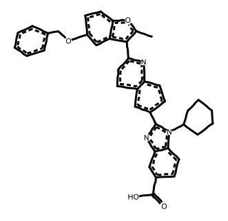 Cc1oc2ccc(OCc3ccccc3)cc2c1-c1ccc2cc(-c3nc4cc(C(=O)O)ccc4n3C3CCCCC3)ccc2n1